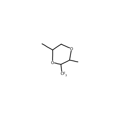 CC1COC(C)C(C(F)(F)F)O1